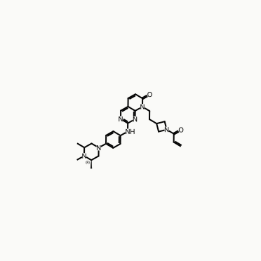 C=CC(=O)N1CC(CCn2c(=O)ccc3cnc(Nc4ccc(N5CC(C)N(C)[C@H](C)C5)cc4)nc32)C1